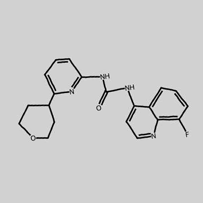 O=C(Nc1cccc(C2CCOCC2)n1)Nc1ccnc2c(F)cccc12